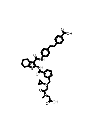 CN(CC(=O)O)C(=O)CN(Cc1cccc(C(=O)Nc2sc3c(c2C(=O)Nc2ccc(CCc4ccc(C(=O)O)cc4)cc2)CCCC3)c1)C1CC1